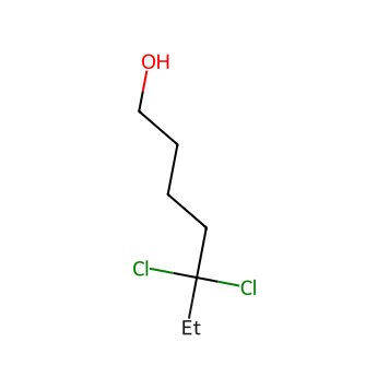 CCC(Cl)(Cl)CCCCO